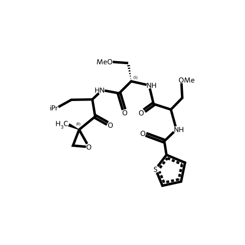 COCC(NC(=O)c1cccs1)C(=O)N[C@@H](COC)C(=O)NC(CC(C)C)C(=O)[C@@]1(C)CO1